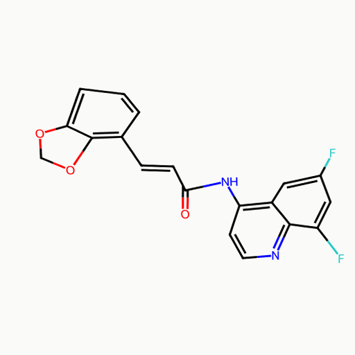 O=C(C=Cc1cccc2c1OCO2)Nc1ccnc2c(F)cc(F)cc12